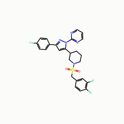 O=S(=O)(Cc1ccc(F)c(F)c1)N1CCCC(c2cc(-c3ccc(F)cc3)nn2-c2ncccn2)C1